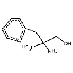 NC(CO)(Cc1ccccc1)C(=O)O